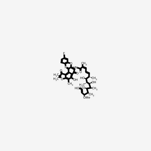 CO[C@@H](/C=C/O)[C@@H](C)[C@@H](OC(C)=O)[C@H](C)[C@H](O)[C@H](C)[C@@H](O)[C@@H](C)/C=C/C=C(/C)C(=O)Nc1c2oc3cc(F)ccc3nc-2c2c3c(c(C)c(O)c2c1=O)OC(C)(C)C3=O